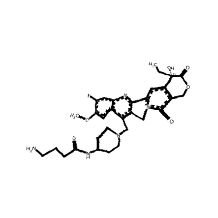 CC[C@@]1(O)C(=O)OCc2c1cc1n(c2=O)Cc2c-1nc1cc(F)c(OC)cc1c2CN1CCC(NC(=O)CCCN)CC1